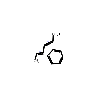 C/C=C/C=C/C(=O)O.c1ccccc1